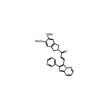 COc1cc2c(cc1OC)CN(C(=O)/C=C/c1c(-c3cccnc3)nc3cccnn13)C2